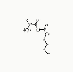 CCCCOC(C)OC(=O)C(C)O